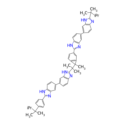 CC(C)C(C)(C)c1ccc(-c2nc3cc(-c4ccc5nc(C(C)(C)C6(C)c7ccc(-c8nc9cc(-c%10ccc%11nc(C(C)(C)C(C)C)[nH]c%11c%10)ccc9[nH]8)cc76)[nH]c5c4)ccc3[nH]2)cc1